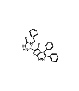 Fc1c(C2NNC(=S)N2Cc2ccccc2)sc2nnc(-c3ccccc3)c(C3C=C=CC=C3)c12